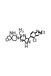 CCn1cc2c(Cl)c(-c3n[nH]c4nc(N5CCC6(CC5)COC[C@H]6N)c(C)nc34)ccc2n1